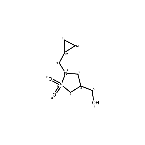 O=S1(=O)CC(CO)CN1CC1CC1